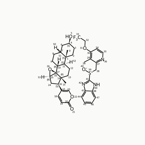 C[C@]12CC[C@H](O)C[C@H]1CC[C@@H]1[C@@H]2CC[C@]2(C)[C@@H](c3ccc(=O)oc3)C[C@H]3O[C@]132.Cc1c(OCC(F)(F)F)ccnc1C[S+]([O-])c1nc2ccccc2[nH]1